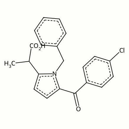 CC(C(=O)O)c1ccc(C(=O)c2ccc(Cl)cc2)n1Cc1ccccc1